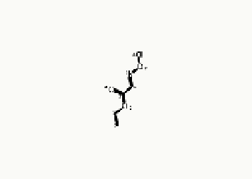 CCOC(=O)C=NOCl